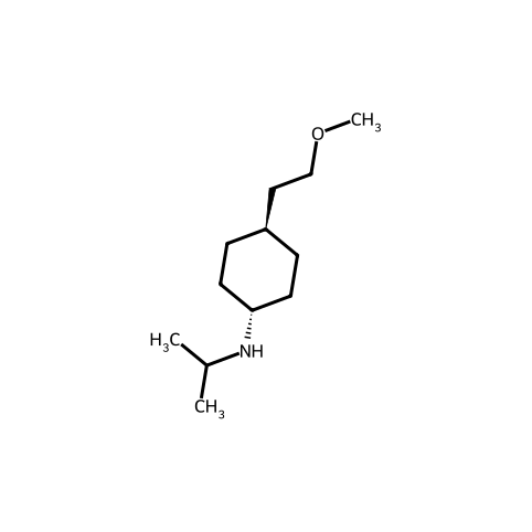 COCC[C@H]1CC[C@H](NC(C)C)CC1